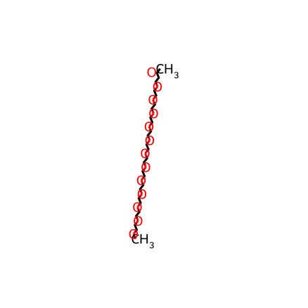 COCCOCCOCCOCCOCCOCCOCCOCCOCCOCCOCCOCCC(C)=O